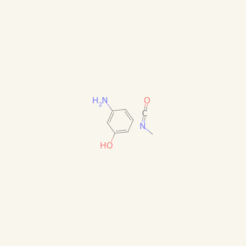 CN=C=O.Nc1cccc(O)c1